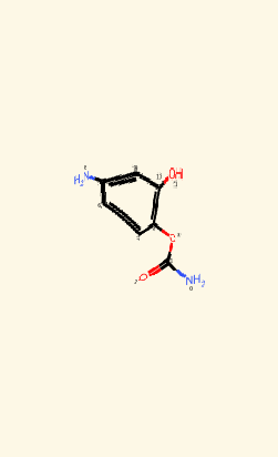 NC(=O)Oc1ccc(N)cc1O